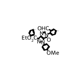 CCOC(=O)c1nn(-c2ccc(OC)cc2)c2c(=O)n(-c3cc[c]cc3C=O)cnc12.[c]1ccccc1